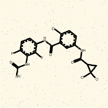 CCCC(=O)Nc1c(F)ccc(NC(=O)c2cc(NC(=O)C3CC3(Cl)Cl)ccc2Cl)c1F